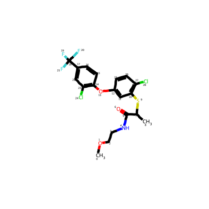 COCCNC(=O)C(C)Sc1cc(Oc2ccc(C(F)(F)F)cc2Cl)ccc1Cl